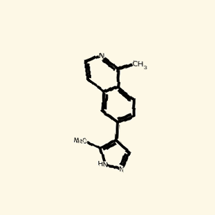 COc1[nH]ncc1-c1ccc2c(C)nccc2c1